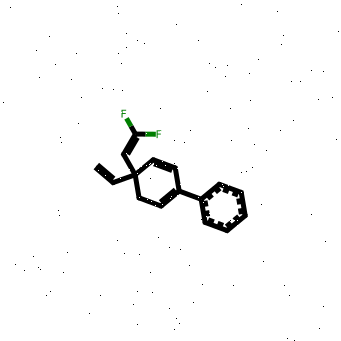 C=CC1(C=C(F)F)C=CC(c2ccccc2)=CC1